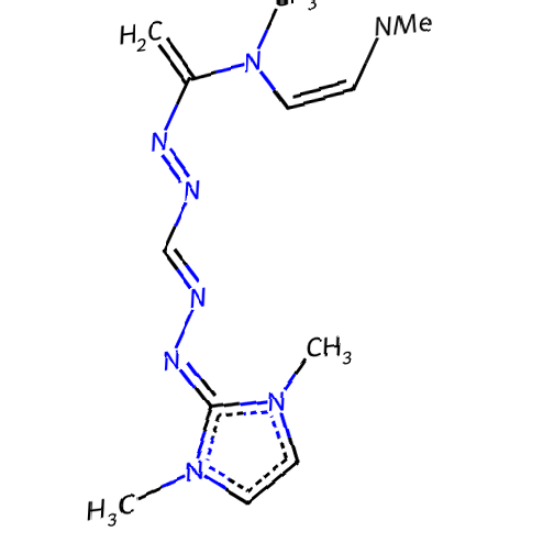 C=C(/N=N/C=N/N=c1n(C)ccn1C)N(C)/C=C\NC